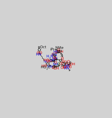 CCCCCCCCc1ccc(S(=O)(=O)NCCCCCCNCc2c(O)cc3c(c2O)-c2cc(ccc2O)[C@H]2NC(=O)[C@@H]4NC(=O)[C@H](CC(N)=O)NC(=O)[C@H](NC(=O)[C@@H](CC(C)C)NC)[C@H](O)c5ccc(c(C)c5)Oc5cc4cc(c5O[C@@H]4O[C@H](CO)[C@@H](O)[C@H](O)[C@H]4O[C@H]4C[C@](C)(NC(=O)NC5CC5)[C@H](O)[C@H](C)O4)Oc4ccc(cc4Cl)[C@@H](O)[C@H](NC2=O)C(=O)N[C@@H]3C(=O)O)cc1